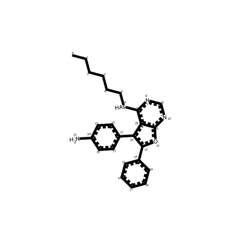 CCCCCC[AsH]c1ncnc2oc(-c3ccccc3)c(-c3ccc(N)cc3)c12